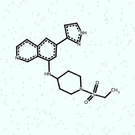 CCS(=O)(=O)N1CCC(Nc2cc(-c3cc[nH]n3)cc3ccncc23)CC1